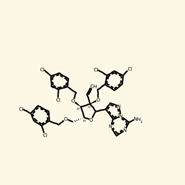 C=C[C@]1(OCc2ccc(Cl)cc2Cl)C(c2cnn3c(N)ncnc23)O[C@H](COCc2ccc(Cl)cc2Cl)[C@H]1OCc1ccc(Cl)cc1Cl